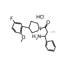 COc1ccc(F)cc1C1CCN(C(=O)[C@H](C)C(N)c2ccccc2)CC1.Cl